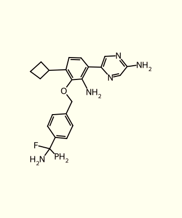 Nc1cnc(-c2ccc(C3CCC3)c(OCc3ccc(C(N)(F)P)cc3)c2N)cn1